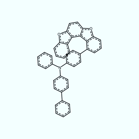 c1ccc(-c2ccc(N(c3ccccc3)c3ccc(-c4cccc5oc6ccc7oc8ccccc8c7c6c45)cc3)cc2)cc1